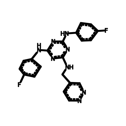 Fc1ccc(Nc2nc(NCc3ccnnc3)nc(Nc3ccc(F)cc3)n2)cc1